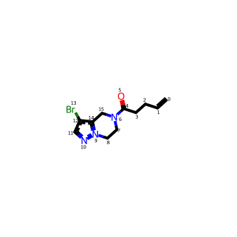 C=CCCC(=O)N1CCn2ncc(Br)c2C1